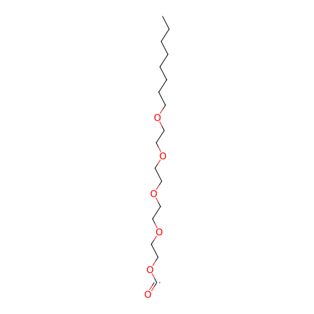 CCCCCCCCOCCOCCOCCOCCO[C]=O